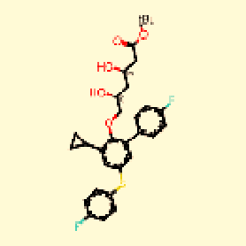 CC(C)(C)OC(=O)C[C@H](O)C[C@H](O)COc1c(-c2ccc(F)cc2)cc(Sc2ccc(F)cc2)cc1C1CC1